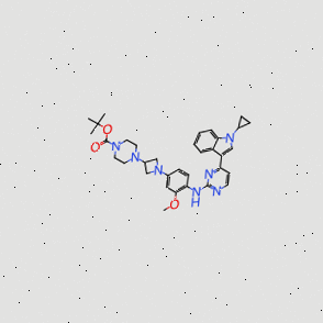 COc1cc(N2CC(N3CCN(C(=O)OC(C)(C)C)CC3)C2)ccc1Nc1nccc(-c2cn(C3CC3)c3ccccc23)n1